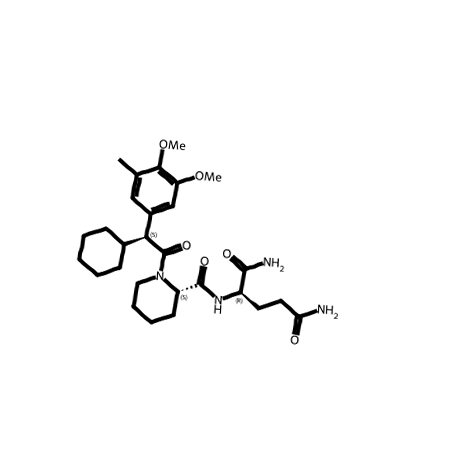 COc1cc([C@@H](C(=O)N2CCCC[C@H]2C(=O)N[C@H](CCC(N)=O)C(N)=O)C2CCCCC2)cc(C)c1OC